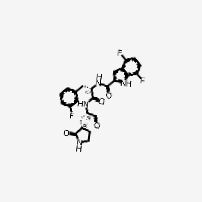 O=C[C@H](C[C@@H]1CCNC1=O)NC(=O)[C@H](Cc1cccc(F)c1)NC(=O)c1cc2c(F)ccc(F)c2[nH]1